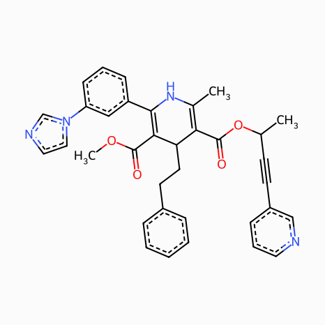 COC(=O)C1=C(c2cccc(-n3ccnc3)c2)NC(C)=C(C(=O)OC(C)C#Cc2cccnc2)C1CCc1ccccc1